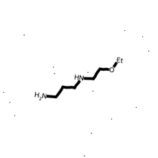 CCOCCNCCCN